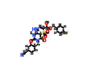 Cn1c2c(c(=O)n(Cc3ccc(C#N)cc3)c1=O)S(=O)(=O)C(C(=O)OCc1ccc(F)cc1)=CN2